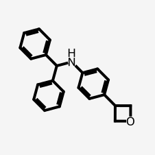 c1ccc(C(Nc2ccc(C3COC3)cc2)c2ccccc2)cc1